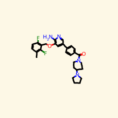 Cc1ccc(F)c(COc2cc(-c3ccc(C(=O)N4CCC(N5CCCC5)CC4)cc3)cnc2N)c1F